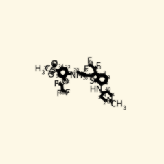 CN1CCC(Nc2cccc3c(C(F)C(F)F)c(C#CCNc4ccc(S(C)(=O)=O)cc4OC(F)C(F)F)sc23)CC1